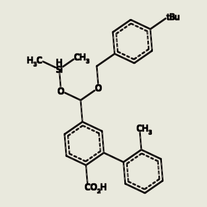 Cc1ccccc1-c1cc(C(OCc2ccc(C(C)(C)C)cc2)O[SiH](C)C)ccc1C(=O)O